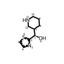 O[C@@H](c1nccs1)C1CCCNC1